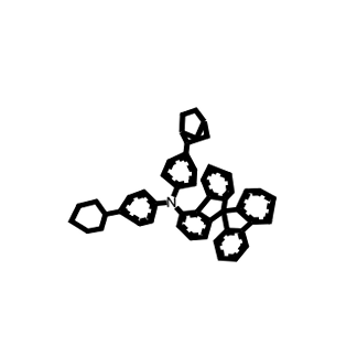 c1ccc2c(c1)-c1ccccc1C21c2ccccc2-c2c(N(c3ccc(C4CCCCC4)cc3)c3ccc(C4CC5CCC4C5)cc3)cccc21